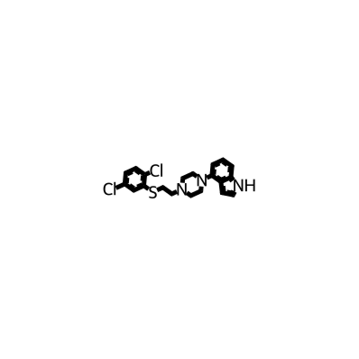 Clc1ccc(Cl)c(SCCN2CCN(c3cccc4[nH]ccc34)CC2)c1